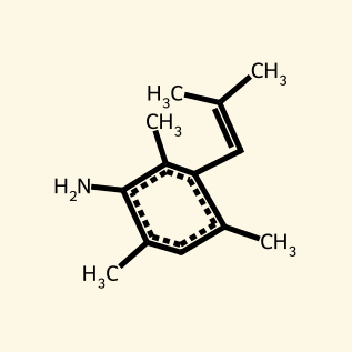 CC(C)=Cc1c(C)cc(C)c(N)c1C